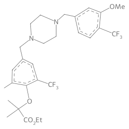 CCOC(=O)C(C)(C)Oc1c(C)cc(CN2CCN(Cc3ccc(C(F)(F)F)c(OC)c3)CC2)cc1C(F)(F)F